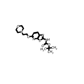 CC(C)(C)OC(=O)Nc1nc2ccc(OCCN3CCOCC3)nc2s1